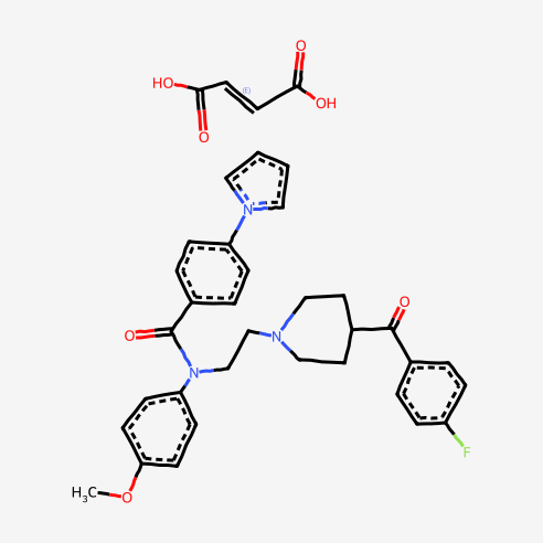 COc1ccc(N(CCN2CCC(C(=O)c3ccc(F)cc3)CC2)C(=O)c2ccc(-n3cccc3)cc2)cc1.O=C(O)/C=C/C(=O)O